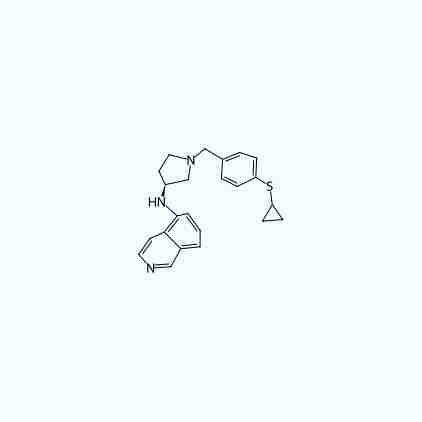 c1cc(N[C@H]2CCN(Cc3ccc(SC4CC4)cc3)C2)c2ccncc2c1